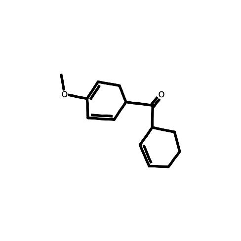 COC1=CCC(C(=O)C2C=CCCC2)C=C1